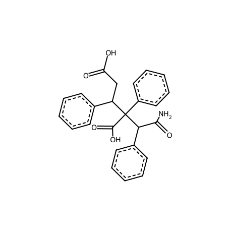 NC(=O)C(c1ccccc1)C(C(=O)O)(c1ccccc1)C(CC(=O)O)c1ccccc1